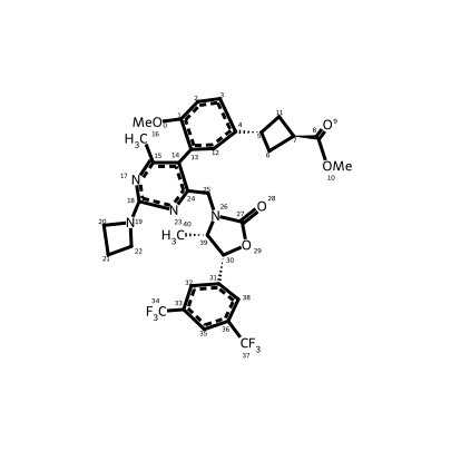 COc1ccc([C@H]2C[C@H](C(=O)OC)C2)cc1-c1c(C)nc(N2CCC2)nc1CN1C(=O)O[C@H](c2cc(C(F)(F)F)cc(C(F)(F)F)c2)[C@@H]1C